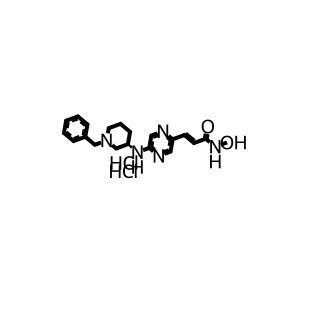 Cl.Cl.O=C(C=Cc1cnc(N[C@@H]2CCCN(Cc3ccccc3)C2)cn1)NO